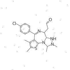 Cc1sc2c(c1C)C(c1ccc(Cl)cc1)=NC(CC=O)C1NN(C)C(C)N21